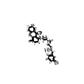 Cc1ccc(NCCN(C)CCNCc2cccc(Br)c2)c2c(=O)c3ccccc3sc12